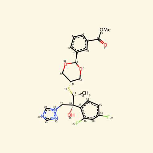 COC(=O)c1cccc([C@H]2OC[C@H](S[C@H](C)[C@](O)(Cn3cncn3)c3ccc(F)cc3F)CO2)c1